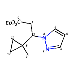 CCOC(=O)CC(n1cccn1)C1(C)CC1